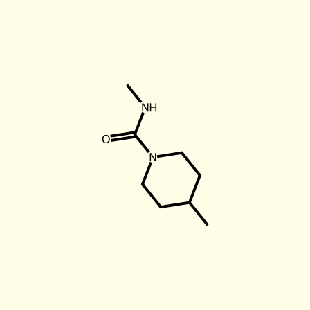 CNC(=O)N1CCC(C)CC1